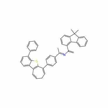 C=C(/N=C(\C)c1ccc(C2=CCC=Cc3c2sc2c(-c4ccccc4)cccc32)cc1)c1cccc2c1-c1ccccc1C2(C)C